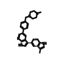 Cc1c[nH]c2ccc(-c3c[nH]c4ncc(-c5ccc(CN6CCN(C)CC6)cc5)cc34)cc12